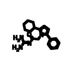 NC(N)=NC(=O)Cn1c(-c2ccccc2)ccc1C1CCCCC1